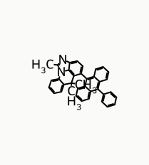 Cc1nc2ccc(-c3c4ccccc4c(-c4ccccc4)c4ccccc34)c3c2n1-c1ccccc1C3(C)C